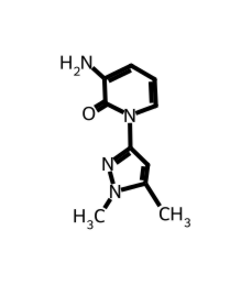 Cc1cc(-n2cccc(N)c2=O)nn1C